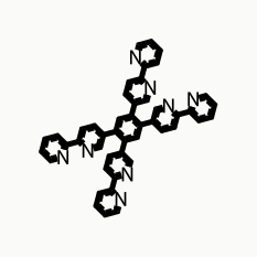 c1ccc(-c2ccc(-c3cc(-c4ccc(-c5ccccn5)nc4)c(-c4ccc(-c5ccccn5)nc4)cc3-c3ccc(-c4ccccn4)nc3)cn2)nc1